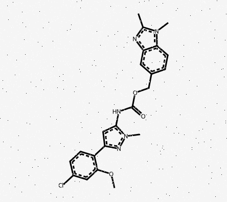 COc1cc(Cl)ccc1-c1cc(NC(=O)OCc2ccc3c(c2)nc(C)n3C)n(C)n1